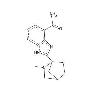 CN1CC2CCC1(c1nc3c(C(N)=O)cccc3[nH]1)C2